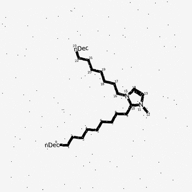 CCCCCCCCCCCCCCCCCCCC1N(C)C=CN1CCCCCCCCCCCCCCCCC